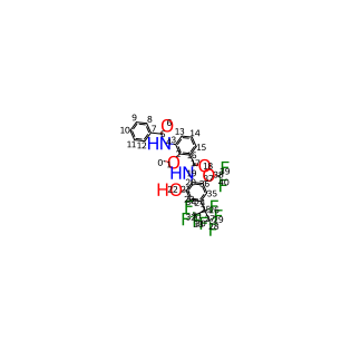 COc1c(NC(=O)c2ccccc2)cccc1C(=O)Nc1c(O)cc(C(F)(C(F)(F)F)C(F)(F)F)cc1OC(F)F